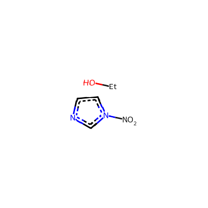 CCO.O=[N+]([O-])n1ccnc1